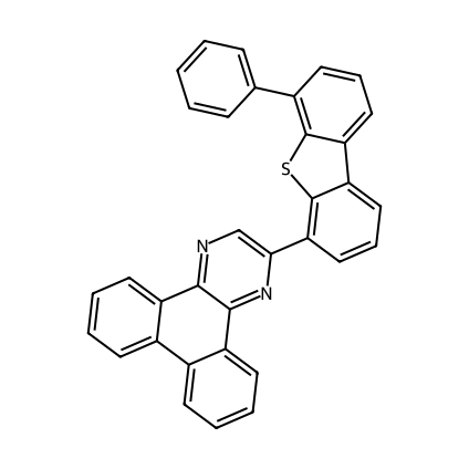 c1ccc(-c2cccc3c2sc2c(-c4cnc5c6ccccc6c6ccccc6c5n4)cccc23)cc1